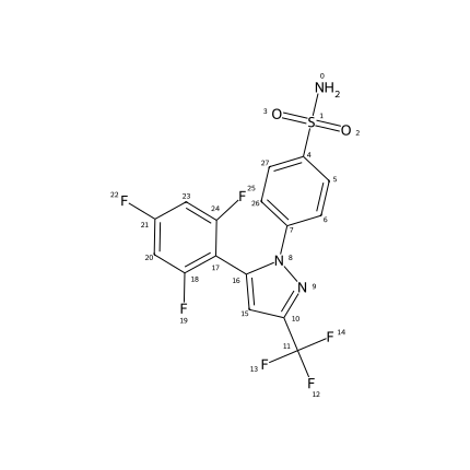 NS(=O)(=O)c1ccc(-n2nc(C(F)(F)F)cc2-c2c(F)cc(F)cc2F)cc1